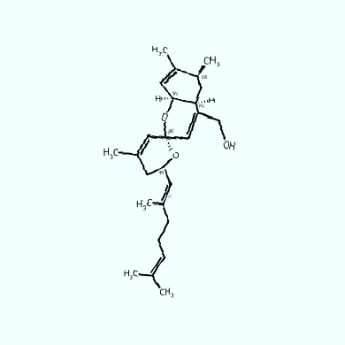 CC(C)=CCC/C(C)=C/[C@H]1CC(C)=C[C@@]2(C=C(CO)[C@@H]3C[C@H](C)C(C)=C[C@@H]3O2)O1